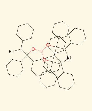 CCC(C1CCCCC1)C(OB(OC(C1CCCCC1)(C1CCCCC1)C(CC)C1CCCCC1)OC(C1CCCCC1)(C1CCCCC1)C(CC)C1CCCCC1)(C1CCCCC1)C1CCCCC1